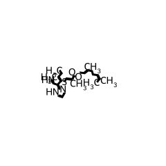 CC/C(C)=C(S/C=C(\C)C(=O)OC/C=C(\C)CCC=C(C)C)/C(C=N)=C1\N=CC=CN1